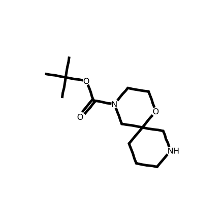 CC(C)(C)OC(=O)N1CCOC2(CCCNC2)C1